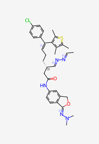 C/C=N/N=C/[C@@H](CC/C=C(/c1ccc(Cl)cc1)c1c(C)sc(C)c1C)CC(=O)Nc1ccc2c(c1)CO/C2=N\N(C)C